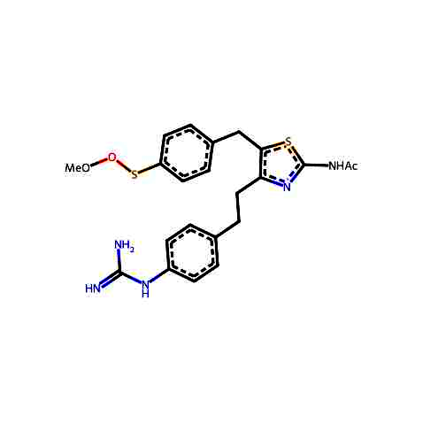 COOSc1ccc(Cc2sc(NC(C)=O)nc2CCc2ccc(NC(=N)N)cc2)cc1